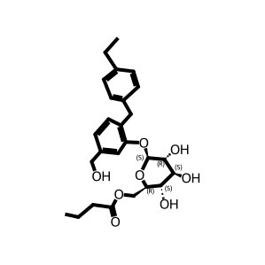 CCCC(=O)OC[C@H]1O[C@@H](Oc2cc(CO)ccc2Cc2ccc(CC)cc2)[C@H](O)[C@@H](O)[C@@H]1O